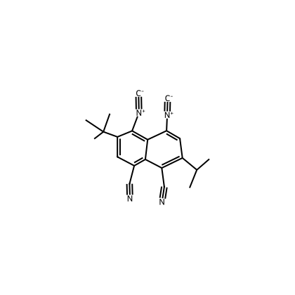 [C-]#[N+]c1cc(C(C)C)c(C#N)c2c(C#N)cc(C(C)(C)C)c([N+]#[C-])c12